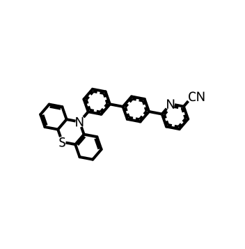 N#Cc1cccc(-c2ccc(-c3cccc(N4C5=C(CCC=C5)SC5C=CC=CC54)c3)cc2)n1